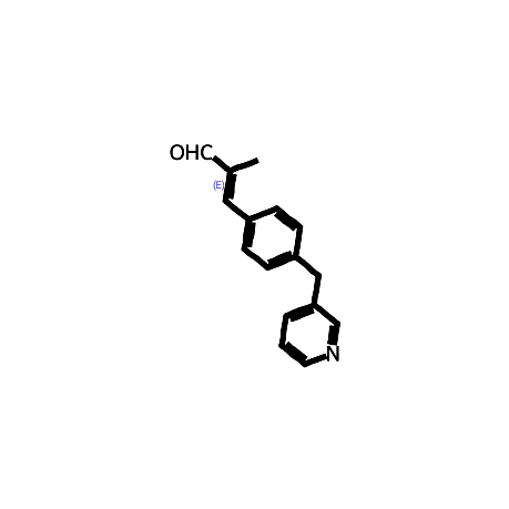 C/C(C=O)=C\c1ccc(Cc2cccnc2)cc1